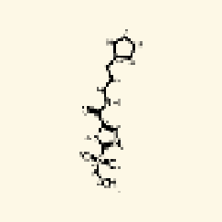 CCS(=O)(=O)c1ncc(C(=O)NCCCC2CCCC2)s1